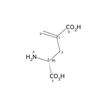 C=C(C[C@@H](N)C(=O)O)C(=O)O